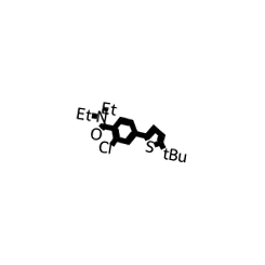 CCN(CC)C(=O)c1ccc(-c2ccc(C(C)(C)C)s2)cc1Cl